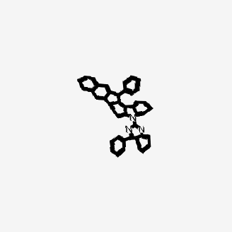 c1ccc(-c2nc(-n3c4ccccc4c4c5c(ccc43)-c3cc4ccccc4cc3C5c3ccccc3)nc3ccccc23)cc1